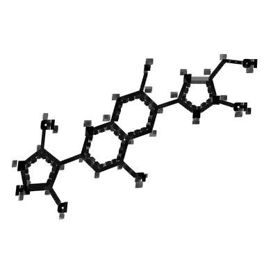 Cc1n[nH]c(Cl)c1-c1cc(C(C)C)c2cc(-c3nc(CO)n(C)n3)c(F)cc2n1